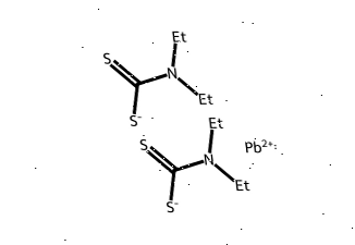 CCN(CC)C(=S)[S-].CCN(CC)C(=S)[S-].[Pb+2]